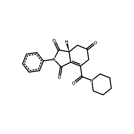 O=C1CC(C(=O)N2CCCCC2)=C2C(=O)N(c3ccccc3)C(=O)[C@@H]2C1